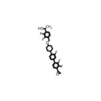 CC(O)c1ccc(COC2CCC(c3ccc(-c4ccc(C5CO5)c(F)c4F)cc3F)CC2)c(F)c1F